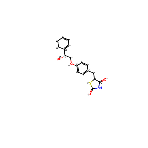 O=C1NC(=O)C(Cc2ccc(OC[C@H](O)C3=CC=CCC3)cc2)S1